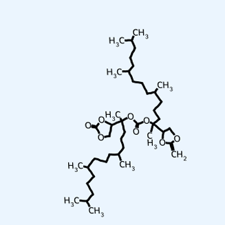 C=C1OCC(C(C)(CCCC(C)CCCC(C)CCCC(C)C)OC(=O)OC(C)(CCCC(C)CCCC(C)CCCC(C)C)C2COC(=O)O2)O1